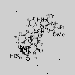 COC(=O)[C@@H](NC(=O)[C@@H](NC(=O)C1CCCC1C(O)C(Cc1ccccc1)NC(=O)[C@H](C)N(C(=O)OC(C)(C)C)C(=O)[C@H](C)NC(=O)[C@@H](N)CO)C(C)C)C(C)C